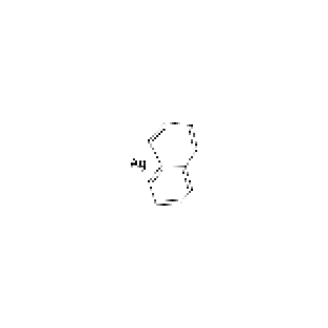 [Ag].c1ccc2ccccc2c1